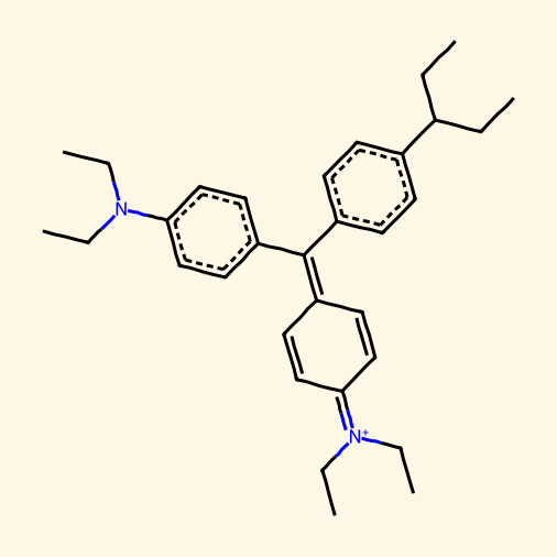 CCC(CC)c1ccc(C(=C2C=CC(=[N+](CC)CC)C=C2)c2ccc(N(CC)CC)cc2)cc1